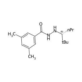 CCC[C@@H](NNC(=O)c1cc(C)cc(C)c1)C(C)(C)C